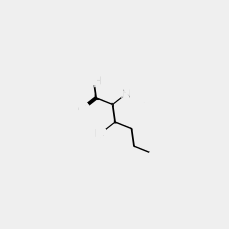 CCCC(S)C(N)C(=O)O